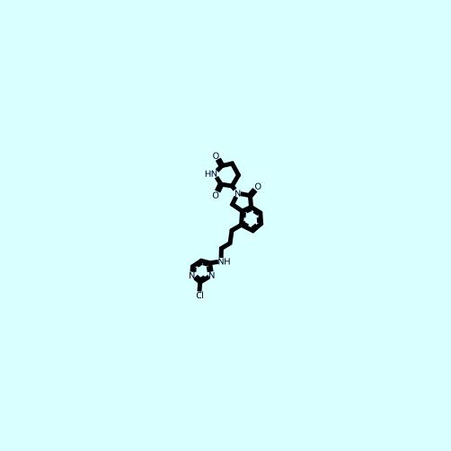 O=C1CCC(N2Cc3c(CCCNc4ccnc(Cl)n4)cccc3C2=O)C(=O)N1